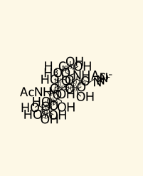 CC(=O)NC1[C@H](O[C@@H]2C(O)[C@H](O[C@@H]3C(CO)O[C@@H](OCCN=[N+]=[N-])C(NC(C)=O)[C@H]3OC3CC(O)[C@H](O)[C@H](C)O3)OC(CO)[C@@H]2O)OC(CO)[C@@H](O[C@@H]2OC(CO)[C@H](O)[C@H](O)C2O)[C@@H]1O